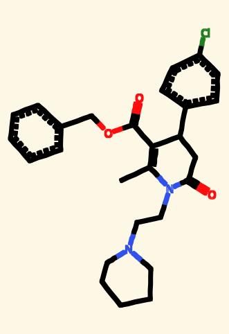 CC1=C(C(=O)OCc2ccccc2)C(c2ccc(Cl)cc2)CC(=O)N1CCN1CCCCC1